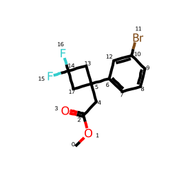 COC(=O)CC1(c2cccc(Br)c2)CC(F)(F)C1